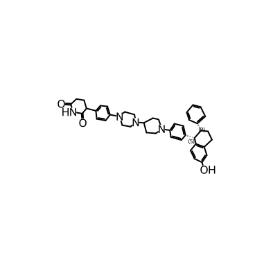 O=C1CCC(c2ccc(N3CCN(C4CCN(c5ccc([C@H]6c7ccc(O)cc7CC[C@H]6c6ccccc6)cc5)CC4)CC3)cc2)C(=O)N1